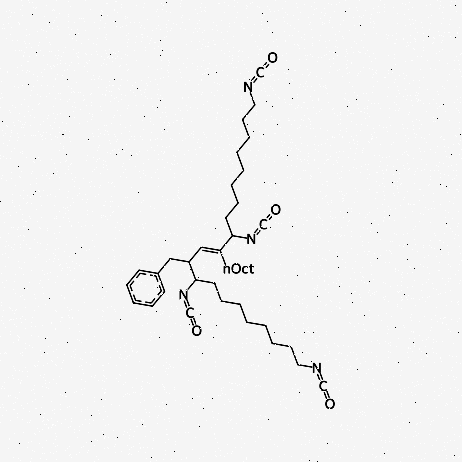 CCCCCCCCC(=CC(Cc1ccccc1)C(CCCCCCCCN=C=O)N=C=O)C(CCCCCCCCN=C=O)N=C=O